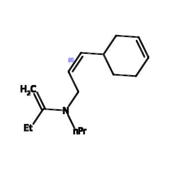 C=C(CC)N(C/C=C\C1CC=CCC1)CCC